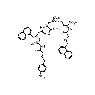 CC[C@H](C)[C@@H](CN(CC(=O)N[C@@H](CCSC)C(=O)OC)Cc1cccc2ccccc12)NC(=O)CSCc1ccc([N+](=O)[O-])cc1.CSCC[C@H](NC(=O)CNCc1cccc2ccccc12)C(=O)O